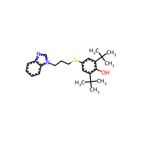 CC(C)(C)c1cc(SCCCn2cnc3ccccc32)cc(C(C)(C)C)c1O